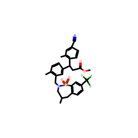 COC(=O)CC(c1ccc(C)c(CN2CC(C)Cc3ccc(C(F)(F)F)cc3S2(=O)=O)c1)c1ccc(C#N)cc1C